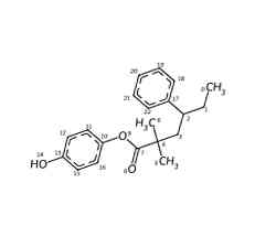 CCC(CC(C)(C)C(=O)Oc1ccc(O)cc1)c1ccccc1